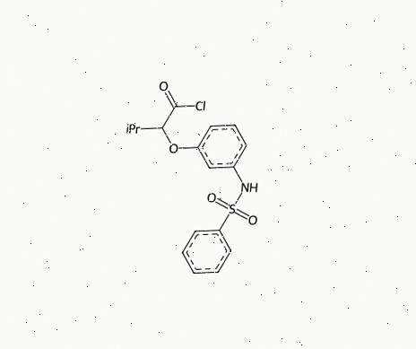 CC(C)C(Oc1cccc(NS(=O)(=O)c2ccccc2)c1)C(=O)Cl